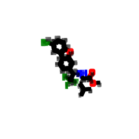 COC(=O)[C@H](CC(C)C)N[C@@H](c1ccc2c(c1)oc1ccc(Br)cc12)C(F)(F)F